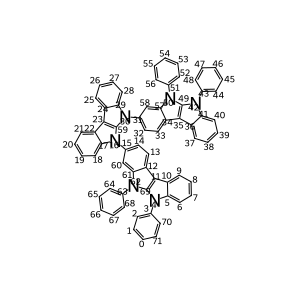 c1ccc(-n2c3ccccc3c3c4ccc(-n5c6ccccc6c6c7ccccc7n(-c7ccc8c9c%10ccccc%10n(-c%10ccccc%10)c9n(-c9ccccc9)c8c7)c65)cc4n(-c4ccccc4)c32)cc1